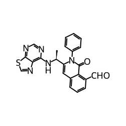 C[C@H](Nc1ncnc2scnc12)c1cc2cccc(C=O)c2c(=O)n1-c1ccccc1